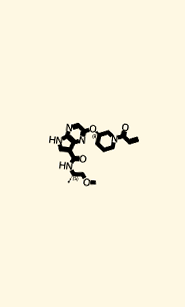 C=CC(=O)N1CCC[C@@H](Oc2cnc3[nH]cc(C(=O)N[C@@H](C)COC)c3n2)C1